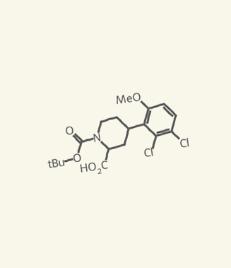 COc1ccc(Cl)c(Cl)c1C1CCN(C(=O)OC(C)(C)C)C(C(=O)O)C1